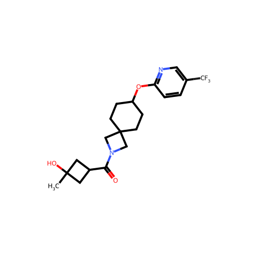 CC1(O)CC(C(=O)N2CC3(CCC(Oc4ccc(C(F)(F)F)cn4)CC3)C2)C1